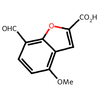 COc1ccc(C=O)c2oc(C(=O)O)cc12